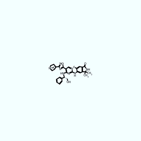 CC1(C)NC(=O)c2cc(F)c(Nc3ncc(-c4nc(C56CCN(CC5)CC6)no4)c(N[C@H](CO)c4ccccc4)n3)cc21